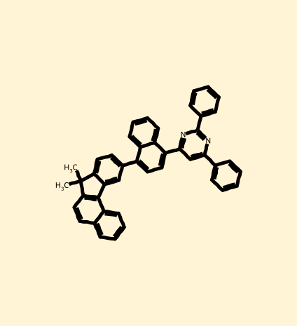 CC1(C)c2ccc(-c3ccc(-c4cc(-c5ccccc5)nc(-c5ccccc5)n4)c4ccccc34)cc2-c2c1ccc1ccccc21